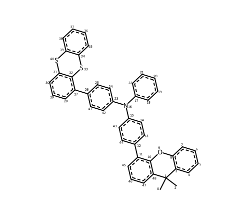 CC1(C)c2ccccc2Oc2c(-c3ccc(N(c4ccccc4)c4ccc(-c5cccc6c5Sc5ccccc5S6)cc4)cc3)cccc21